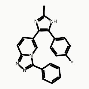 Cc1nc(-c2ccc3nnc(-c4ccccc4)n3c2)c(-c2ccc(F)cc2)[nH]1